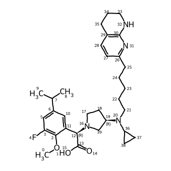 COc1c(F)cc(C(C)C)cc1[C@H](C(=O)O)N1CC[C@@H](N(CCCCCc2ccc3c(n2)NCCC3)C2CC2)C1